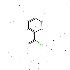 ClC(=CI)c1ccccc1